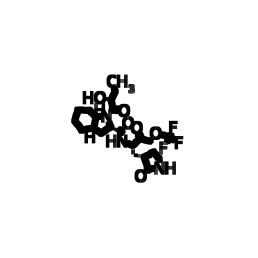 CC[C@@H](O)C(=O)N1[C@H](C(=O)N[C@@H](C[C@@H]2CCNC2=O)C(=O)COC(F)(F)F)C[C@@H]2CCCC[C@@H]21